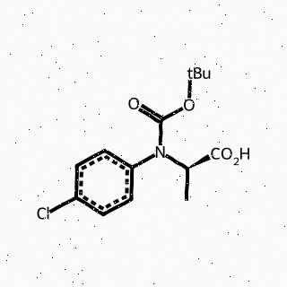 C[C@H](C(=O)O)N(C(=O)OC(C)(C)C)c1ccc(Cl)cc1